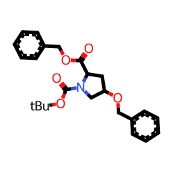 CC(C)(C)OC(=O)N1CC(OCc2ccccc2)CC1C(=O)OCc1ccccc1